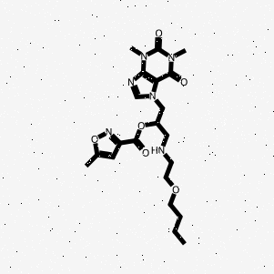 CCCCOCCNCC(Cn1cnc2c1c(=O)n(C)c(=O)n2C)OC(=O)c1cc(C)on1